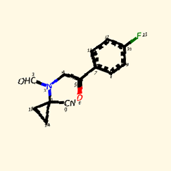 N#CC1(N(C=O)CC(=O)c2ccc(F)cc2)CC1